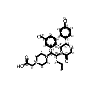 CCC[C@H](C(=O)N1CCN(CC(=O)O)CC1)N1C(=O)CO[C@@H](c2ccc(Cl)cc2)[C@H]1c1ccc(Cl)cc1